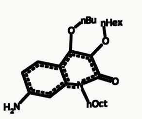 CCCCCCCCn1c(=O)c(OCCCCCC)c(OCCCC)c2ccc(N)cc21